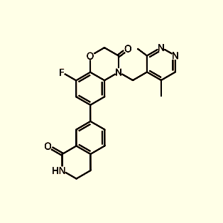 Cc1cnnc(C)c1CN1C(=O)COc2c(F)cc(-c3ccc4c(c3)C(=O)NCC4)cc21